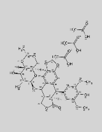 CC(=O)O.CC(=O)O.CC(=O)O.COc1cc([C@@H]2c3cc4c(cc3C(O[C@@H]3O[C@@H]5CO[C@@H](C)O[C@H]5[C@H](O)[C@H]3O)C3COC(=O)[C@@H]32)OCO4)cc(OC)c1O